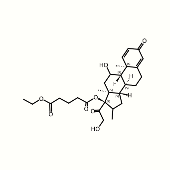 CCOC(=O)CCCC(=O)O[C@]1(C(=O)CO)C(C)C[C@H]2[C@@H]3CCC4=CC(=O)C=C[C@]4(C)[C@@]3(F)C(O)C[C@@]21C